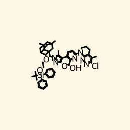 Cc1c(Cl)nnc2c1CCCN2c1ccc(-c2cnn(CC34CC5(C)CC(CC(C)(C5)C3)C4OCCO[Si](c3ccccc3)(c3ccccc3)C(C)(C)C)c2C)c(C(=O)O)n1